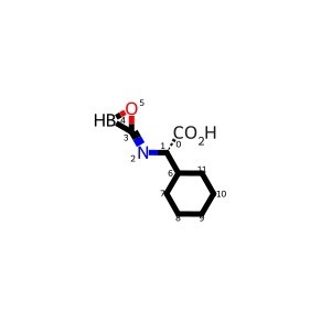 O=C(O)[C@@H](/N=C1/BO1)C1CCCCC1